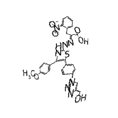 COc1ccc(-c2nc(N/N=C(\Cc3ccccc3[N+](=O)[O-])C(=O)O)sc2-c2ccc(-n3cc(CO)nn3)cc2)cc1